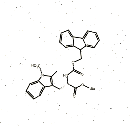 Cc1c(C[C@H](NC(=O)OCC2c3ccccc3-c3ccccc32)C(=O)OC(C)(C)C)c2ccccc2n1C(=O)O